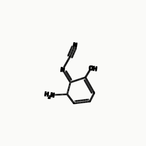 N#CN=C1C(O)=CC=CC1N